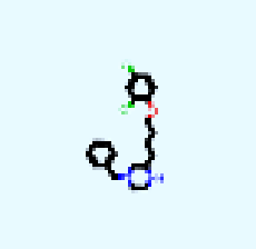 Clc1ccc(OCCCCC2CN(Cc3ccccc3)CCN2)c(Cl)c1